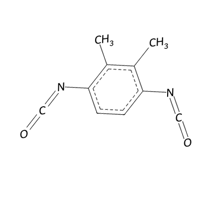 Cc1c(N=C=O)ccc(N=C=O)c1C